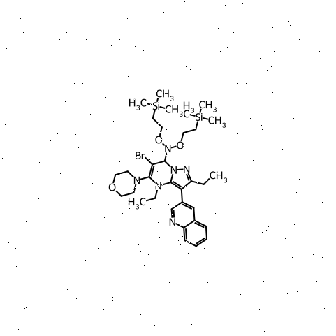 CCc1nn2c(c1-c1cnc3ccccc3c1)N(CC)C(N1CCOCC1)=C(Br)C2N(OCC[Si](C)(C)C)OCC[Si](C)(C)C